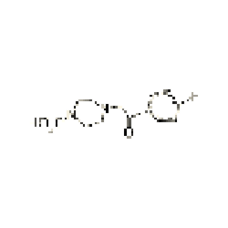 O=C(CN1CCN(C(=O)O)CC1)c1ccc(F)cc1